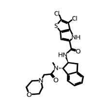 CN(C(=O)CN1CCOCC1)[C@H]1c2ccccc2C[C@@H]1NC(=O)c1cc2sc(Cl)c(Cl)c2[nH]1